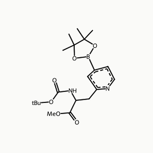 COC(=O)C(Cc1cc(B2OC(C)(C)C(C)(C)O2)ccn1)NC(=O)OC(C)(C)C